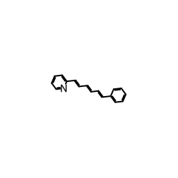 C(=CC=Cc1ccccn1)C=Cc1ccccc1